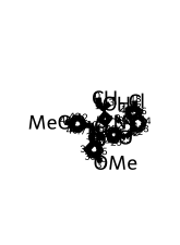 C=CC(O)[C@@H]1CC[C@H]1CN1C[C@@]2(CCCc3cc(Cl)ccc32)COc2ccc(S(=O)(=O)N(Cc3ccc(OC)cc3)Cc3ccc(OC)cc3)cc21